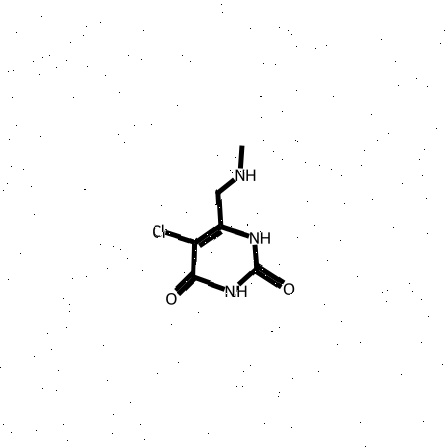 CNCc1[nH]c(=O)[nH]c(=O)c1Cl